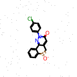 O=c1cc2c(nn1-c1ccc(Cl)cc1)-c1ccccc1[S+]([O-])C2